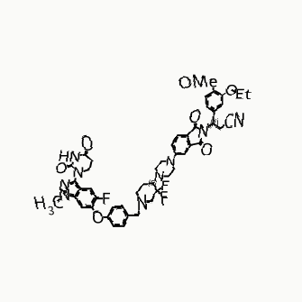 CCOc1cc([C@@H](CC#N)N2C(=O)c3ccc(N4CCN([C@H]5CCN(Cc6ccc(Oc7cc8c(cc7F)c(N7CCC(=O)NC7=O)nn8C)cc6)CC5(F)F)CC4)cc3C2=O)ccc1OC